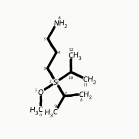 CO[Si](CCCN)(C(C)C)C(C)C